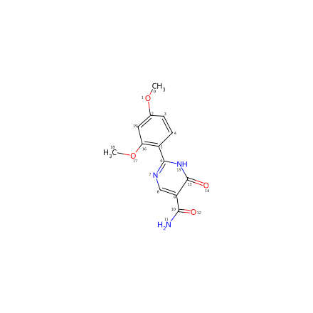 COc1ccc(-c2ncc(C(N)=O)c(=O)[nH]2)c(OC)c1